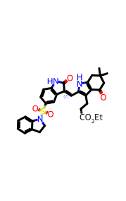 CCOC(=O)CCc1c(/C=C2\C(=O)Nc3ccc(S(=O)(=O)N4CCc5ccccc54)cc32)[nH]c2c1C(=O)CC(C)(C)C2